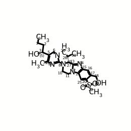 CCC[C@H](O)c1cnc(N2CCn3c(nc4cc(CO)c(S(C)(=O)=O)cc43)[C@H]2C(C)C)nc1C